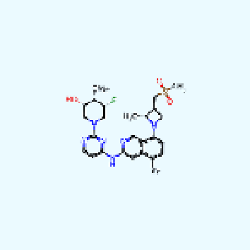 CO[C@@H]1[C@H](F)CN(c2nccc(Nc3cc4c(C(C)C)ccc(N5C[C@H](CS(C)(=O)=O)[C@H]5C)c4cn3)n2)C[C@@H]1O